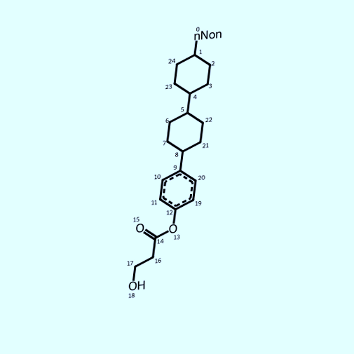 CCCCCCCCCC1CCC(C2CCC(c3ccc(OC(=O)CCO)cc3)CC2)CC1